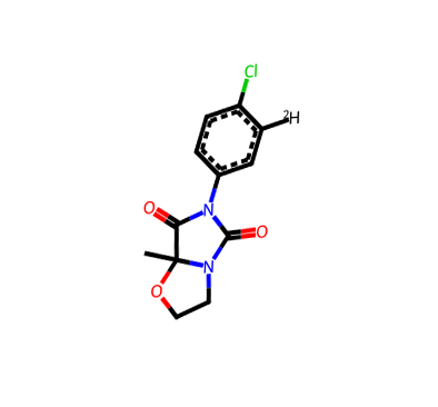 [2H]c1cc(N2C(=O)N3CCOC3(C)C2=O)ccc1Cl